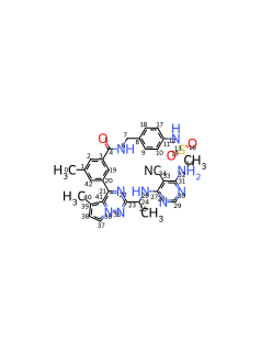 Cc1cc(C(=O)NCc2ccc(NS(C)(=O)=O)cc2)cc(-c2nc(C(C)Nc3ncnc(N)c3C#N)nn3ccc(C)c23)c1